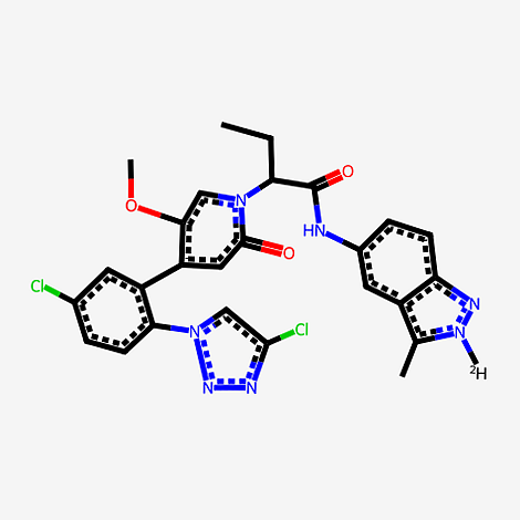 [2H]n1nc2ccc(NC(=O)C(CC)n3cc(OC)c(-c4cc(Cl)ccc4-n4cc(Cl)nn4)cc3=O)cc2c1C